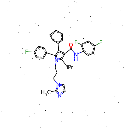 Cc1nccn1CCCn1c(-c2ccc(F)cc2)c(-c2ccccc2)c(C(=O)Nc2ccc(F)cc2F)c1C(C)C